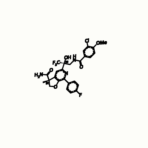 COc1ccc(C(=O)NC[C@](O)(c2cc3c(c(-c4ccc(F)cc4)n2)OC[C@]3(C)C(N)=O)C(F)(F)F)cc1Cl